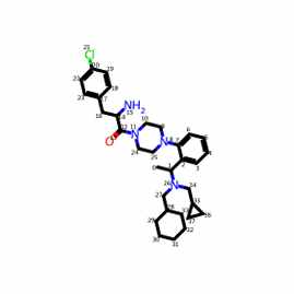 CC(c1ccccc1N1CCN(C(=O)C(N)Cc2ccc(Cl)cc2)CC1)N(CC1CCCCC1)CC1CC1